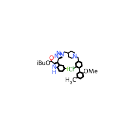 COc1ccc(C)cc1-c1ccc(CN2CCC(Cn3cc(-c4c(C(=O)OCC(C)C)[nH]c5ccc(F)cc45)nn3)CC2)cc1Cl